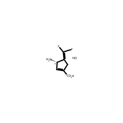 Cl.N[C@H]1C=C(C(=O)O)CC1=C(F)F